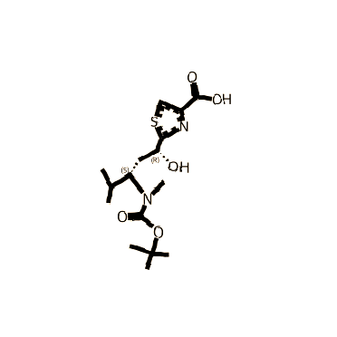 CC(C)[C@H](C[C@@H](O)c1nc(C(=O)O)cs1)N(C)C(=O)OC(C)(C)C